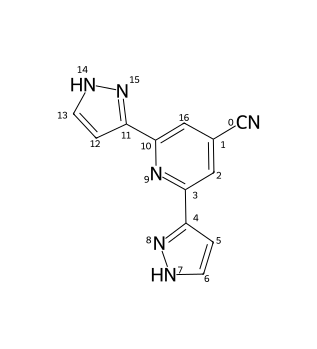 N#Cc1cc(-c2cc[nH]n2)nc(-c2cc[nH]n2)c1